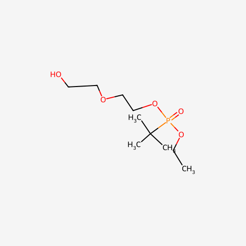 CCOP(=O)(OCCOCCO)C(C)(C)C